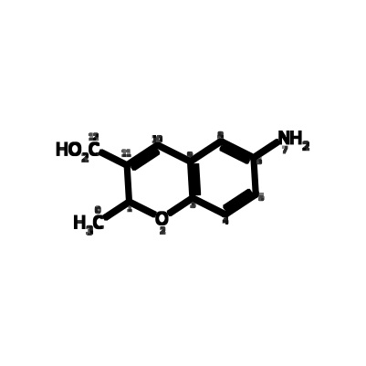 CC1Oc2ccc(N)cc2C=C1C(=O)O